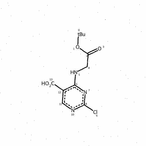 CC(C)(C)OC(=O)CNc1nc(Cl)ncc1C(=O)O